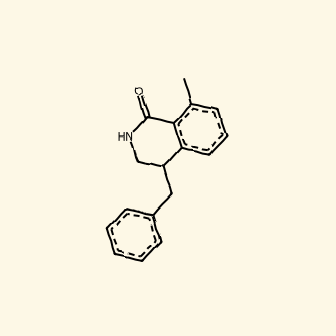 Cc1cccc2c1C(=O)NCC2Cc1ccccc1